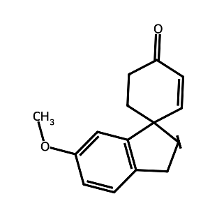 COc1ccc2c(c1)C1(C=CC(=O)CC1)C1(CCCC1)C2